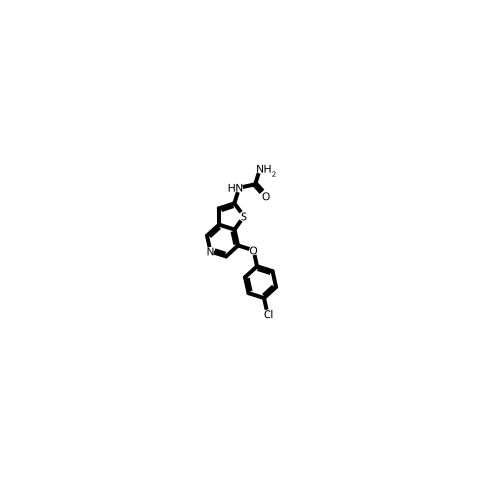 NC(=O)Nc1cc2cncc(Oc3ccc(Cl)cc3)c2s1